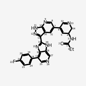 CCC(=O)NC1C=C(c2cnc3[nH]nc(-c4nc5c(-c6ccc(F)cc6)cncc5[nH]4)c3c2)C=NC1